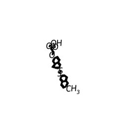 Cc1ccc2cc(SSc3ccc4cc(OCCS(=O)(=O)O)ccc4c3)ccc2c1